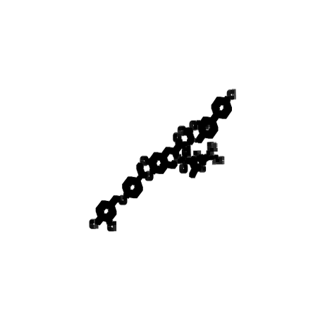 CCN(C(C)=O)c1nc(S(=O)(=O)N2Cc3cc4c(cc3CC2C(=O)N[C@@H](Cc2ccc(-c3ccc(Cl)cc3)cc2)C(=O)OC)OC[C@H](c2ccc(OCc3ccc(Cl)c(Cl)c3)cc2)O4)c(C)s1